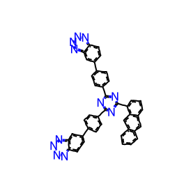 c1ccc2cc3c(-c4nc(-c5ccc(-c6ccc7nnnnc7c6)cc5)nc(-c5ccc(-c6ccc7nnnnc7c6)cc5)n4)cccc3cc2c1